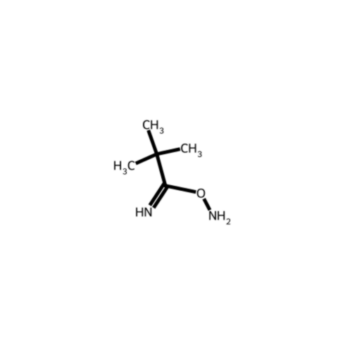 CC(C)(C)C(=N)ON